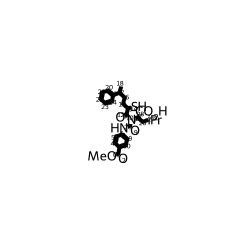 COC(=O)c1ccc(NC(=O)N(C(=O)C(S)CCC(C)c2ccccc2)[C@@H](CC(C)C)C(=O)O)cc1